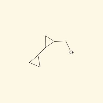 [O]CC1CC1C1CC1